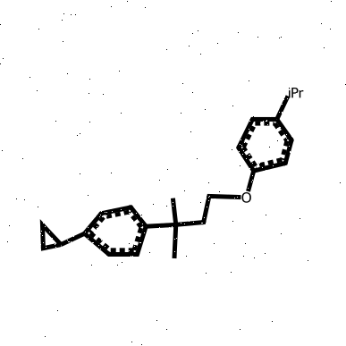 CC(C)c1ccc(OCCC(C)(C)c2ccc(C3CC3)cc2)cc1